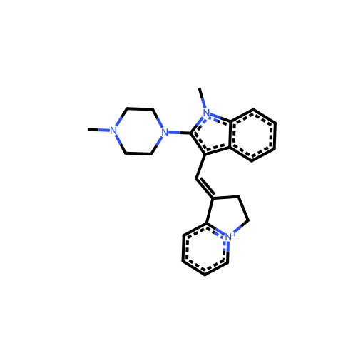 CN1CCN(c2c(/C=C3\CC[n+]4ccccc43)c3ccccc3n2C)CC1